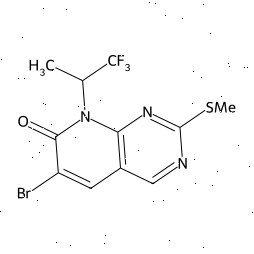 CSc1ncc2cc(Br)c(=O)n(C(C)C(F)(F)F)c2n1